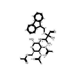 CC(=O)OC[C@H]1O[C@H](O)[C@@H](NC(N)C(O)(C=O)OCC2c3ccccc3-c3ccccc32)[C@@H](OC(C)=O)[C@H]1OC(C)=O